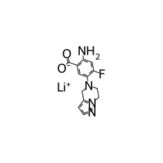 Nc1cc(F)c(N2CCn3nccc3C2)cc1C(=O)[O-].[Li+]